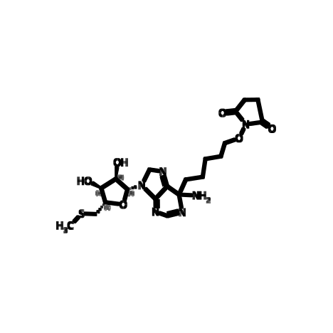 CSC[C@H]1O[C@@H](N2CN=C3C2=NC=NC3(N)CCCCCON2C(=O)CCC2=O)[C@H](O)[C@@H]1O